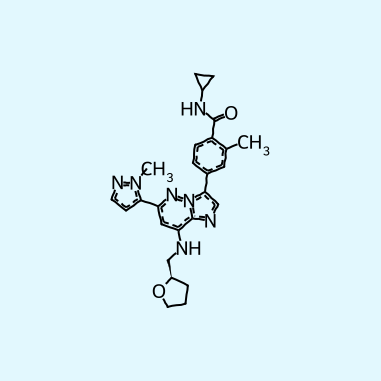 Cc1cc(-c2cnc3c(NC[C@H]4CCCO4)cc(-c4ccnn4C)nn23)ccc1C(=O)NC1CC1